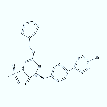 CS(=O)(=O)NC(=O)[C@H](Cc1ccc(-c2ncc(Br)cn2)cc1)NC(=O)OCc1ccccc1